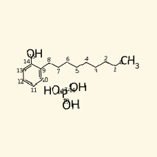 CCCCCCCCCc1ccccc1O.OP(O)O